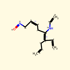 C=CC/C(C=C)=C(\C/C=C\CN=O)NC=C